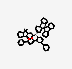 CC1(C)c2ccccc2-c2ccc(N(c3ccc4c(c3)C3(c5ccccc5-c5ccccc53)c3ccccc3-4)c3ccc(-c4ccccc4)cc3-c3ccc(-c4ccccc4)cc3)cc21